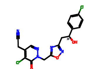 N#CCc1cnn(Cc2nc(C[C@H](O)c3ccc(Cl)cc3)no2)c(=O)c1Cl